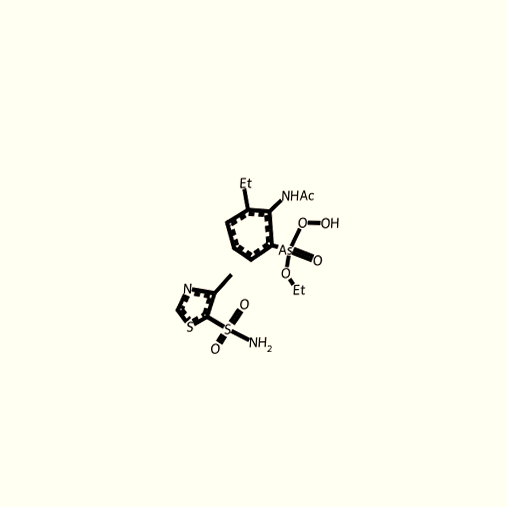 CCO[As](=O)(OO)c1cccc(CC)c1NC(C)=O.Cc1ncsc1S(N)(=O)=O